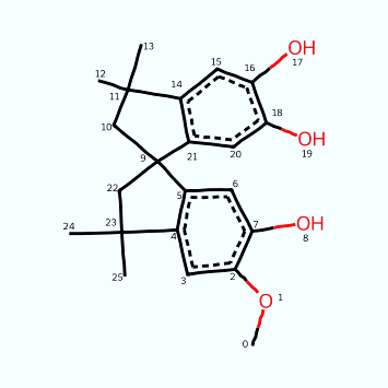 COc1cc2c(cc1O)C1(CC(C)(C)c3cc(O)c(O)cc31)CC2(C)C